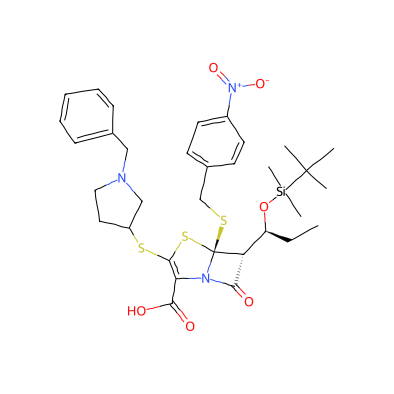 CC[C@H](O[Si](C)(C)C(C)(C)C)[C@@H]1C(=O)N2C(C(=O)O)=C(SC3CCN(Cc4ccccc4)C3)S[C@]12SCc1ccc([N+](=O)[O-])cc1